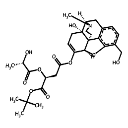 C[C@H](O)C(=O)O[C@@H](CC(=O)OC1=CC[C@@]2(O)[C@H]3Cc4ccc(CO)c5c4[C@@]2(CCN3C)[C@H]1O5)C(=O)OC(C)(C)C